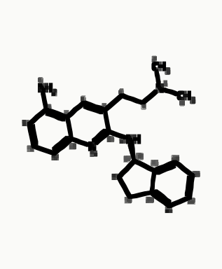 CN(C)CCc1cc2c(N)cccc2nc1N[C@@H]1CCc2ccccc21